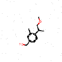 COCC(C)c1ccc(CO)cc1C